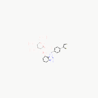 OC[C@H]1OC(O)[C@H](OOc2cccc3ncn(Cc4ccc(-c5ccsc5)cc4)c23)[C@@H](O)[C@@H]1O